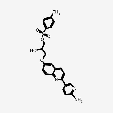 Cc1ccc(S(=O)(=O)OCC(O)COc2ccc3nc(-c4ccc(N)nc4)ccc3c2)cc1